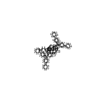 C[Si](C)(C)C1([Si](C)(C)C)c2cc(N(c3ccc(C4CCCCC4)cc3)c3ccc(C4CCCCC4)cc3)ccc2-c2ccc3cc(N(c4ccc(C5CCCCC5)cc4)c4ccc(C5CCCCC5)cc4)ccc3c21